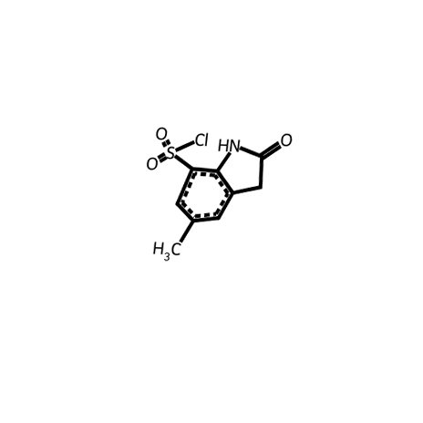 Cc1cc2c(c(S(=O)(=O)Cl)c1)NC(=O)C2